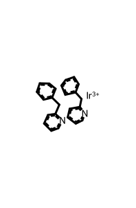 [Ir+3].c1ccc(Cc2ccccn2)cc1.c1ccc(Cc2ccccn2)cc1